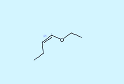 CC/C=[C]\OCC